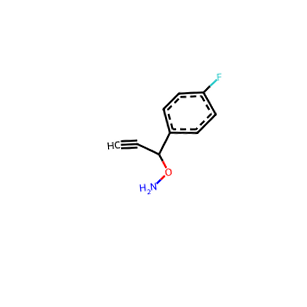 C#CC(ON)c1ccc(F)cc1